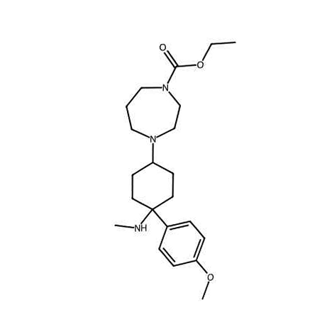 CCOC(=O)N1CCCN(C2CCC(NC)(c3ccc(OC)cc3)CC2)CC1